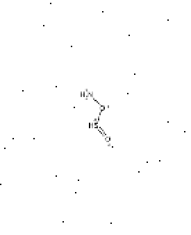 NO[SH]=O